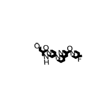 COCCC1CNC2C=C(N3CCCc4cc(C(=O)N5CCC(C)(F)CC5)cnc43)C=CN2C1=O